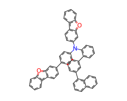 c1cc(-c2ccccc2N(c2ccc(-c3ccc4c(c3)oc3ccccc34)cc2)c2ccc3c(c2)oc2ccccc23)cc(-c2cccc3ccccc23)c1